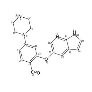 O=Cc1ccc(N2CCNCC2)cc1Oc1cnc2[nH]ccc2c1